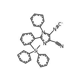 [C-]#[N+]c1c(C#N)nc(-c2ccccc2[Si](C)(c2ccccc2)c2ccccc2)n1-c1ccccc1